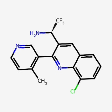 Cc1ccncc1-c1nc2c(Cl)cccc2cc1[C@@H](N)C(F)(F)F